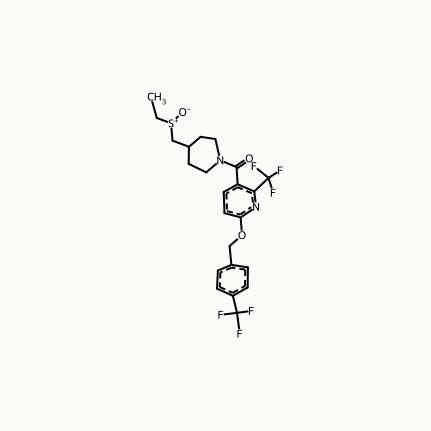 CC[S+]([O-])CC1CCN(C(=O)c2ccc(OCc3ccc(C(F)(F)F)cc3)nc2C(F)(F)F)CC1